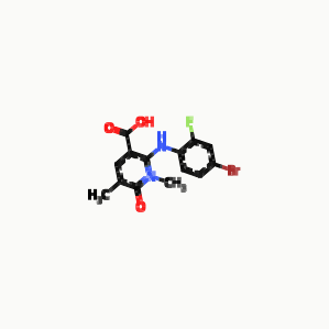 Cc1cc(C(=O)O)c(Nc2ccc(Br)cc2F)n(C)c1=O